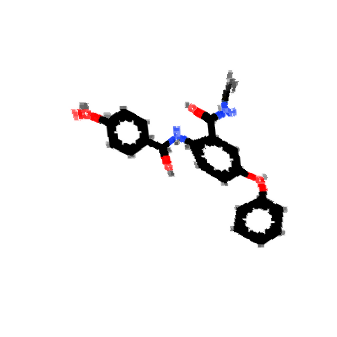 CC(C)NC(=O)c1cc(Oc2ccccc2)ccc1NC(=O)c1ccc(O)cc1